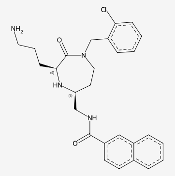 NCCC[C@@H]1N[C@H](CNC(=O)c2ccc3ccccc3c2)CCN(Cc2ccccc2Cl)C1=O